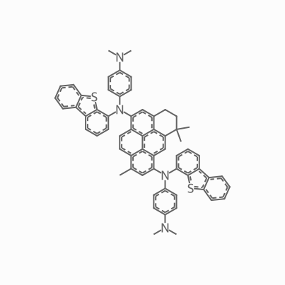 Cc1cc(N(c2ccc(N(C)C)cc2)c2cccc3c2sc2ccccc23)c2cc3c4c(cc(N(c5ccc(N(C)C)cc5)c5cccc6c5sc5ccccc56)c5ccc1c2c54)CCC3(C)C